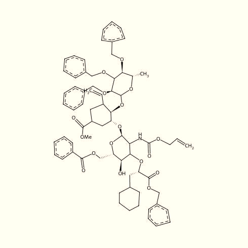 C=CCOC(=O)NC1C(O[C@@H](CC2CCCCC2)C(=O)OCc2ccccc2)[C@@H](O)[C@H](COC(=O)c2ccccc2)O[C@H]1O[C@@H]1CC(C(=O)OC)CC(C=C)[C@H]1OC1O[C@@H](C)[C@H](OCc2ccccc2)C(OCc2ccccc2)[C@@H]1OCc1ccccc1